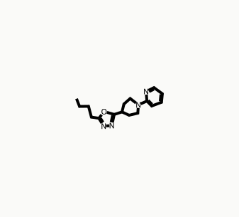 CCCCc1nnc(C2CCN(c3ccccn3)CC2)o1